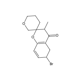 CC1C(=O)C2=C(C=CC(Br)C2)OC12CCCOC2